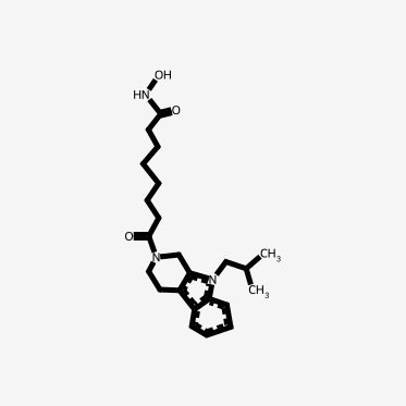 CC(C)Cn1c2c(c3ccccc31)CCN(C(=O)CCCCCCC(=O)NO)C2